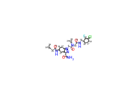 NC(=O)c1nn(CC(=O)N(CC(=O)NCc2cccc(Cl)c2F)C2CC2)c2ccc(NC(=O)CC3CC3)cc12